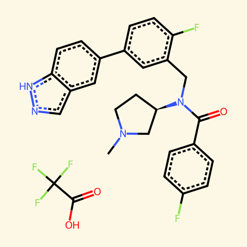 CN1CC[C@@H](N(Cc2cc(-c3ccc4[nH]ncc4c3)ccc2F)C(=O)c2ccc(F)cc2)C1.O=C(O)C(F)(F)F